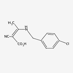 CC(NCc1ccc(Cl)cc1)=C(C#N)C(=O)O